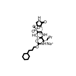 CC(C)C[C@H](NC(=O)OCCCC1CCCCC1)C(=O)N[C@@H](C[C@@H]1CCNC1=O)C(O)S(=O)(=O)[O-].[Na+]